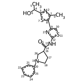 Cc1nc(C(C)O)sc1-c1csc(NC(=O)C2CCN(c3ccccc3)C2)n1